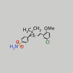 COc1ccc(Cl)cc1C=C[C@@H]1[C@@H](c2ccc(S(N)(=O)=O)cc2)C1(C)C